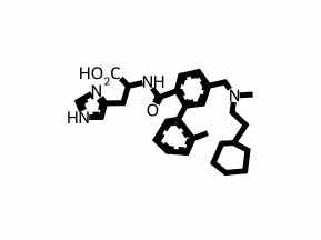 Cc1ccccc1-c1cc(CN(C)CCC2CCCCC2)ccc1C(=O)NC(Cc1c[nH]cn1)C(=O)O